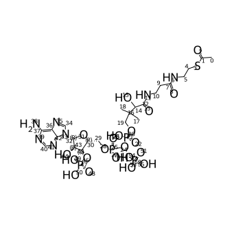 CC(=O)SCCNC(=O)CCNC(=O)C(O)C(C)(C)COP(=O)(O)OP(=O)(O)OC[C@H]1O[C@@H](n2cnc3c(N)ncnc32)[C@H](O)[C@@H]1OP(=O)(O)O.O=P(O)(O)O